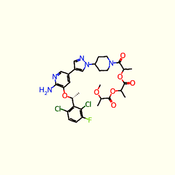 COC(C)C(=O)OC(C)C(=O)OC(C)C(=O)N1CCC(n2cc(-c3cnc(N)c(O[C@H](C)c4c(Cl)ccc(F)c4Cl)c3)cn2)CC1